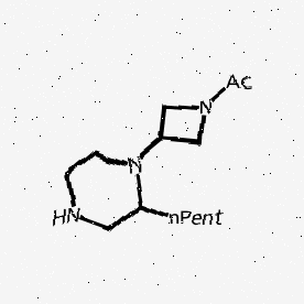 CCCCCC1CNCCN1C1CN(C(C)=O)C1